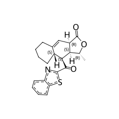 C[C@H]1OC(=O)[C@@H]2C=C3CCCC[C@H]3[C@H](C(=O)c3nc4ccccc4s3)[C@H]12